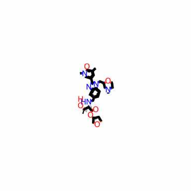 Cc1cc(-c2nc3cc(CN[C@H](C(=O)O[C@@H]4CCOC4)[C@@H](C)O)ccc3n2CC2CN(C)CCO2)cn(C)c1=O